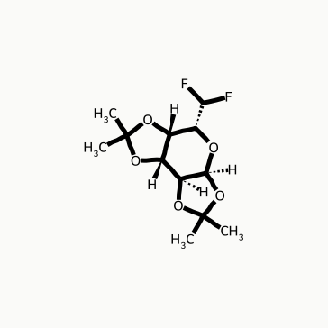 CC1(C)O[C@@H]2O[C@@H](C(F)F)[C@H]3OC(C)(C)O[C@H]3[C@@H]2O1